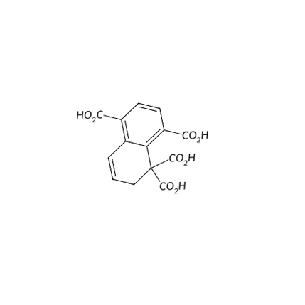 O=C(O)c1ccc(C(=O)O)c2c1C=CCC2(C(=O)O)C(=O)O